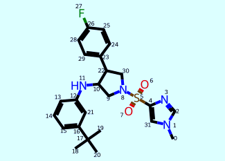 Cn1cnc(S(=O)(=O)N2CC(Nc3cccc(C(C)(C)C)c3)C(c3ccc(F)cc3)C2)c1